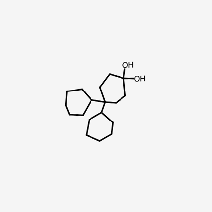 OC1(O)CCC(C2CCCCC2)(C2CCCCC2)CC1